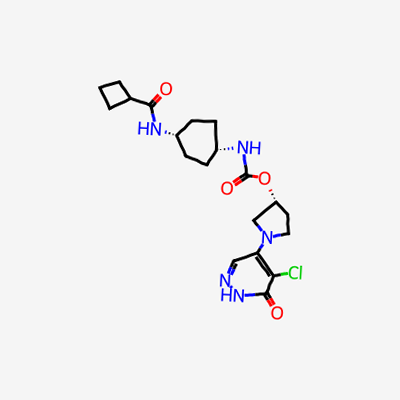 O=C(N[C@H]1CC[C@@H](NC(=O)C2CCC2)CC1)O[C@@H]1CCN(c2cn[nH]c(=O)c2Cl)C1